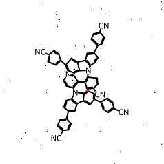 N#Cc1ccc(-c2ccc3c(c2)c2cc(-c4ccc(C#N)cc4)ccc2n3-c2ccncc2-c2cc(C#N)ccc2-n2c3ccc(-c4ccc(C#N)cc4)cc3c3cc(-c4ccc(C#N)cc4)ccc32)cc1